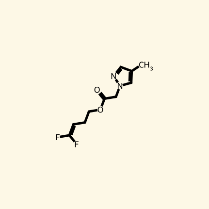 Cc1cnn(CC(=O)OCCC=C(F)F)c1